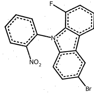 O=[N+]([O-])c1ccccc1-n1c2ccc(Br)cc2c2cccc(F)c21